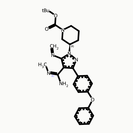 C=Nc1c(/C(N)=N\C)c(-c2ccc(Oc3ccccc3)cc2)nn1[C@@H]1CCCN(C(=O)OC(C)(C)C)C1